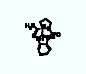 CCC(=O)N1CCC[C@]1(C(N)=O)c1nc2ccccc2[nH]1